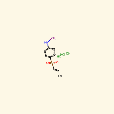 Cl.Cl.Cl.N#C/C=C/S(=O)(=O)c1ccc(NP)cc1